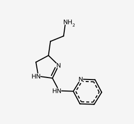 NCCC1CNC(Nc2ccccn2)=N1